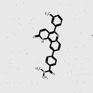 CN(C)C(=O)c1ccc(-c2ccc3nc(-c4cccc(C(F)(F)F)c4)c4ccc(=O)[nH]c4c3c2)cc1